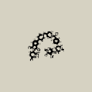 CN1C[C@H](Nc2cnn(C)c(=O)c2Br)C[C@H](c2ccc(C(=O)N3CCC(CN4CCC(c5ccc6c(c5)C(=O)N(C5CCC(=O)NC5=O)C6=O)CC4)CC3)cc2)C1